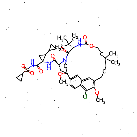 COc1c2cc3cc(ccc3c1Cl)[C@]1(OC)C[C@@H](C(=O)N[C@]3(C(=O)NS(=O)(=O)C4CC4)C[C@H]3C3CC3)N(C1)C(=O)[C@H](C(C)(C)C)NC(=O)OCCC(C)(C)CCC2